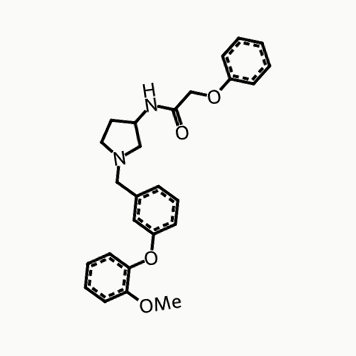 COc1ccccc1Oc1cccc(CN2CCC(NC(=O)COc3ccccc3)C2)c1